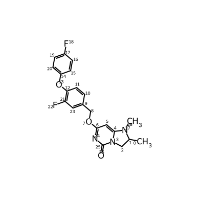 CC1Cn2c(cc(OCc3ccc(Oc4ccc(F)cc4)c(F)c3)nc2=O)N1C